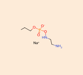 CCCOP(=O)([O-])ONCCN.[Na+]